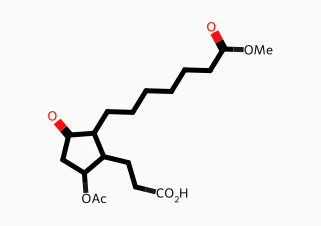 COC(=O)CCCCCCC1C(=O)CC(OC(C)=O)C1CCC(=O)O